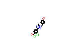 COc1ccc(Cn2nc(-c3ccc(C(=O)Cl)c(Cl)c3)nc2C)cc1